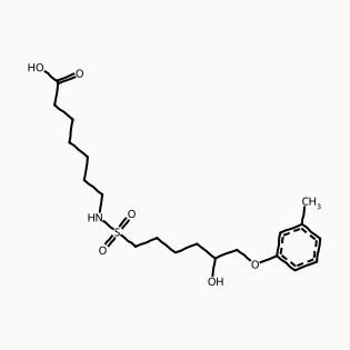 Cc1cccc(OCC(O)CCCCS(=O)(=O)NCCCCCCC(=O)O)c1